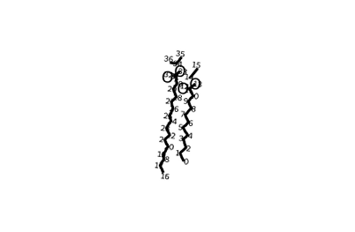 CCCCCCCCCCCC(=O)OCC.CCCCCCCCCCCCCCCC(=O)OC(C)C